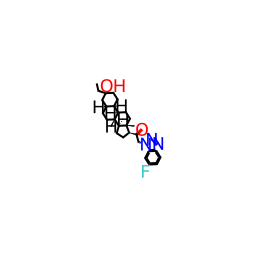 CC[C@@]1(O)CC[C@H]2[C@H](CC[C@@H]3[C@@H]2CC[C@]2(C)[C@@H](C(=O)Cn4nnc5ccc(F)cc54)CC[C@@H]32)C1